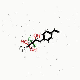 C=Cc1ccc(CC(O)C(F)(F)C(O)(O)C(F)(F)F)cc1